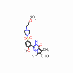 CCCc1c(C=O)c(C)c2c(=O)[nH]c(-c3cc(S(=O)(=O)N4CCN(CCCO[N+](=O)[O-])CC4)ccc3OCC)nn12